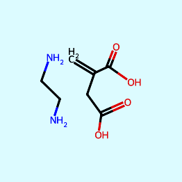 C=C(CC(=O)O)C(=O)O.NCCN